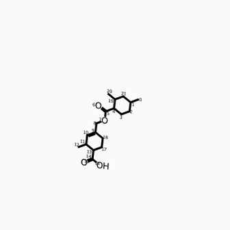 CC1CCC(C(=O)OCC2=CC(C)C(C(=O)O)CC2)C(C)C1